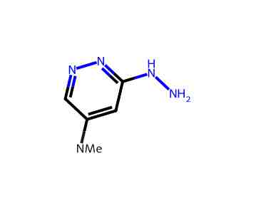 CNc1cnnc(NN)c1